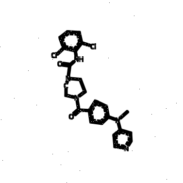 CN(c1ccncc1)c1ccc(C(=O)N2CCN(C(=O)Nc3c(Cl)cccc3Cl)CC2)cc1